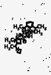 CC(C)c1cccc(C(C)C)c1NC(=O)NS(=N)(=O)c1cc(C(C)N2CCC2)n(C)n1